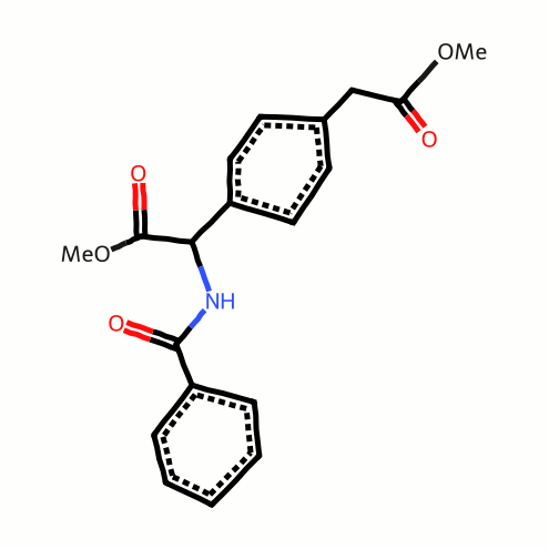 COC(=O)Cc1ccc(C(NC(=O)c2ccccc2)C(=O)OC)cc1